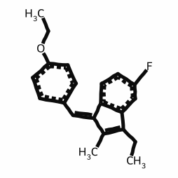 CCOc1ccc(/C=C2/C(C)=C(CC)c3cc(F)ccc32)cc1